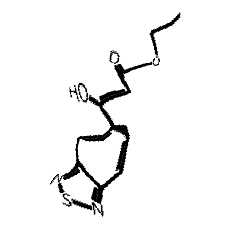 CCOC(=O)C=C(O)c1ccc2nsnc2c1